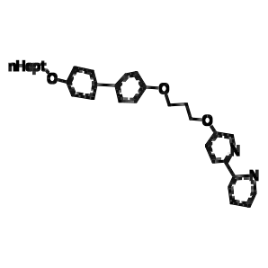 CCCCCCCOc1ccc(-c2ccc(OCCCOc3ccc(-c4ccccn4)nc3)cc2)cc1